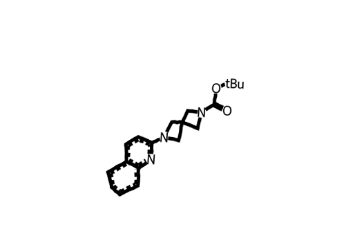 CC(C)(C)OC(=O)N1CC2(C1)CN(c1ccc3ccccc3n1)C2